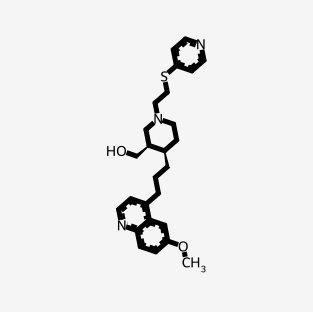 COc1ccc2nccc(CCC[C@@H]3CCN(CCSc4ccncc4)C[C@@H]3CO)c2c1